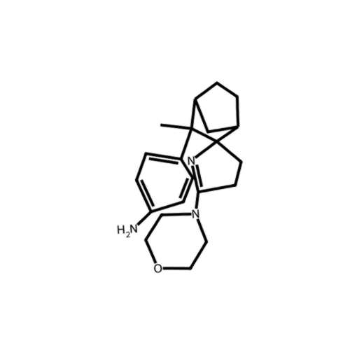 CC1(c2ccc(N)cc2)C2CCC(C2)C12CCC(N1CCOCC1)=N2